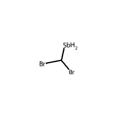 Br[CH](Br)[SbH2]